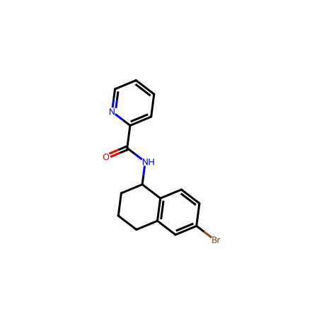 O=C(NC1CCCc2cc(Br)ccc21)c1ccccn1